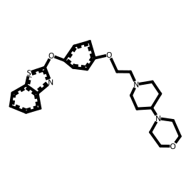 c1ccc2sc(Oc3ccc(OCCN4CCC(N5CCOCC5)CC4)cc3)nc2c1